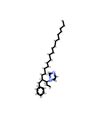 CCCCCCCCCCCCCCCCCC(Cc1ccccc1)C(CC)n1ccnc1